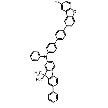 [2H]c1ccc2oc3ccc(-c4ccc(-c5ccc(N(c6ccccc6)c6ccc7c(c6)C(C)(C)c6cc(-c8ccccc8)ccc6-7)cc5)cc4)cc3c2c1